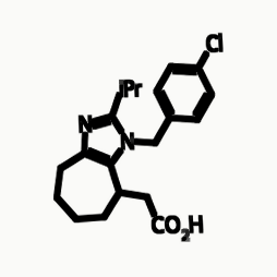 CC(C)c1nc2c(n1Cc1ccc(Cl)cc1)C(CC(=O)O)CCCC2